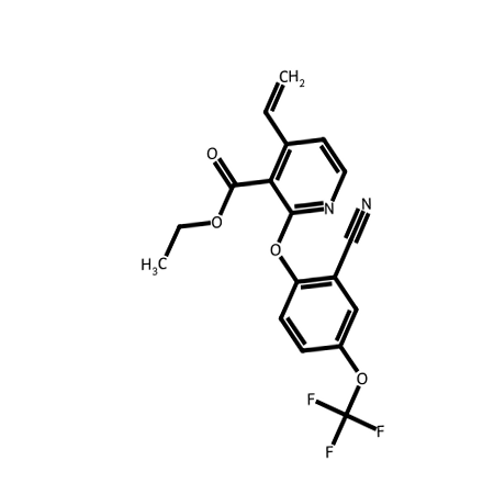 C=Cc1ccnc(Oc2ccc(OC(F)(F)F)cc2C#N)c1C(=O)OCC